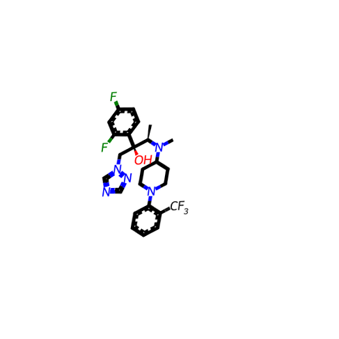 C[C@@H](N(C)C1CCN(c2ccccc2C(F)(F)F)CC1)[C@](O)(Cn1cncn1)c1ccc(F)cc1F